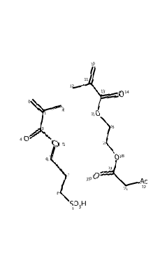 C=C(C)C(=O)OCCCS(=O)(=O)O.C=C(C)C(=O)OCCOC(=O)CC(C)=O